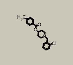 Cc1ccc(C(=O)OC2CCN(Cc3ccccc3Cl)CC2)cc1